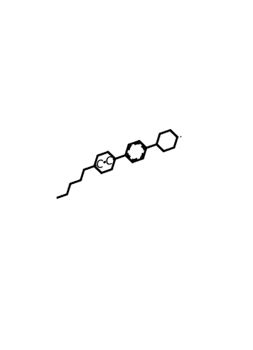 CCCCCC12CCC(c3ccc(C4CC[CH]CC4)cc3)(CC1)CC2